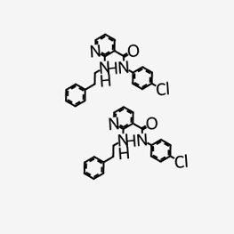 O=C(Nc1ccc(Cl)cc1)c1cccnc1NCCc1ccccc1.O=C(Nc1ccc(Cl)cc1)c1cccnc1NCCc1ccccc1